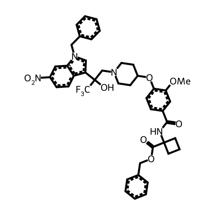 COc1cc(C(=O)NC2(C(=O)OCc3ccccc3)CCC2)ccc1OC1CCN(CC(O)(c2cn(Cc3ccccc3)c3cc([N+](=O)[O-])ccc23)C(F)(F)F)CC1